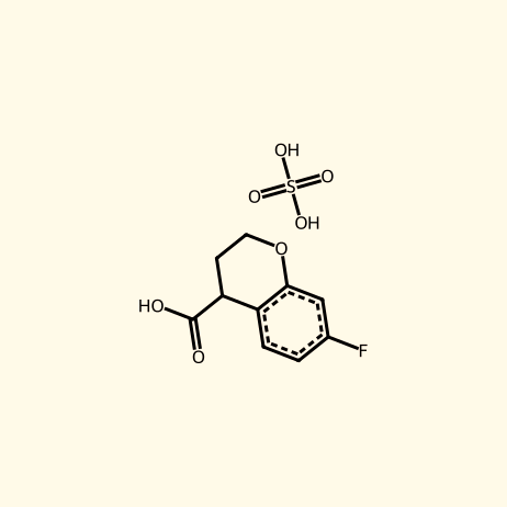 O=C(O)C1CCOc2cc(F)ccc21.O=S(=O)(O)O